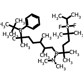 CC(CCC(C)(C)B(c1ccccc1)C(C)(C)C)C(C)CB(N(C)C)C(C)(C)CCC(C)(C)S(F)(F)C(C)C